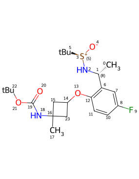 C[C@@H](N[S@+]([O-])C(C)(C)C)c1cc(F)ccc1OC1CC(C)(NC(=O)OC(C)(C)C)C1